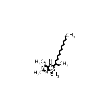 CCCCCCCCCCCCC(CC)C(=S)Nc1c(SC)nc(C)nc1SC